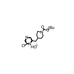 CC(C)(C)OC(=O)N1CCC([C@H](CO)c2cncc(Cl)n2)CC1